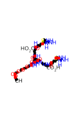 C#CCOC(=O)CCOCCOCCOCCNC(=O)Nc1cc(C(=O)NCCCCC(NC(=O)CCCCC2SCC3NC(=N)NC32)C(=O)O)cc(C(=O)NCCCCC(NC(=O)CCCCC2SCC3NC(=N)NC32)C(=O)O)c1